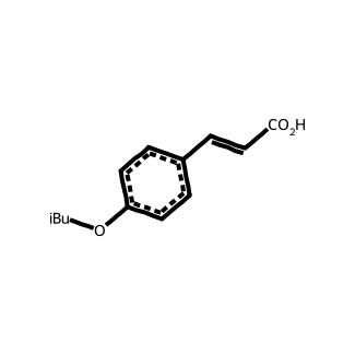 CCC(C)Oc1ccc(C=CC(=O)O)cc1